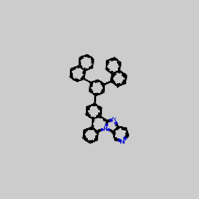 c1ccc2c(-c3cc(-c4ccc5c6ccccc6n6c7cnccc7nc6c5c4)cc(-c4cccc5ccccc45)c3)cccc2c1